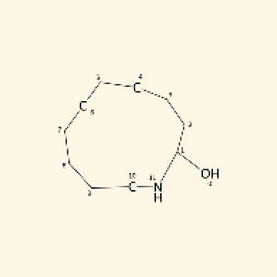 OC1CCCCCCCCCN1